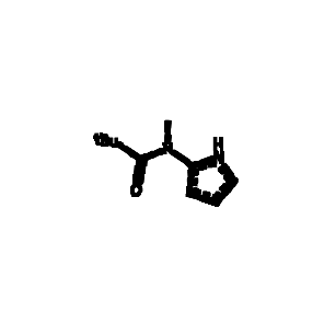 CN(C(=O)C(C)(C)C)c1ccc[nH]1